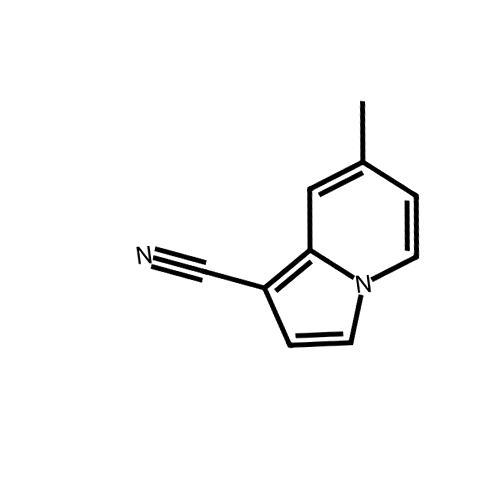 Cc1ccn2ccc(C#N)c2c1